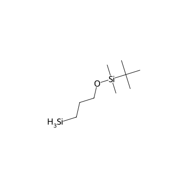 CC(C)(C)[Si](C)(C)OCCC[SiH3]